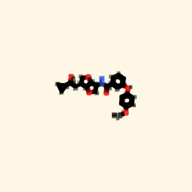 COc1ccc(Oc2cccc(C(=O)NC3COC4C3OC[C@@H]4CC(=O)C3CC3)c2)cc1